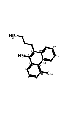 CCCCc1c(S)c2cccc(Cl)c2[n+]2ccccc12